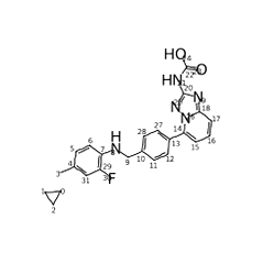 C1CC1.Cc1ccc(NCc2ccc(-c3cccc4nc(NC(=O)O)nn34)cc2)c(F)c1